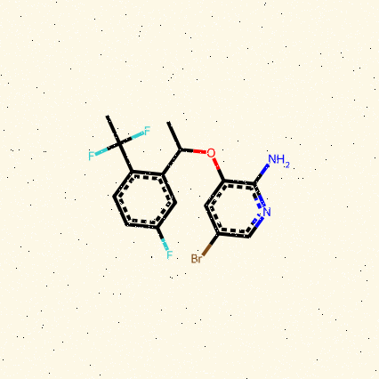 CC(Oc1cc(Br)cnc1N)c1cc(F)ccc1C(C)(F)F